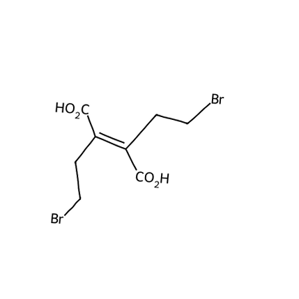 O=C(O)C(CCBr)=C(CCBr)C(=O)O